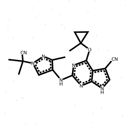 Cc1nn(C(C)(C)C#N)cc1Nc1nc(OC2(C)CC2)c2c(C#N)c[nH]c2n1